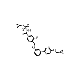 O=C(NS(=O)(=O)CC1CC1)c1ccc(COc2cccc(-c3ccc(OCC4CC4)nc3)c2)c(F)c1